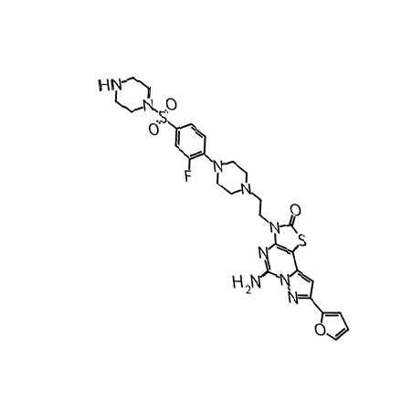 Nc1nc2c(sc(=O)n2CCN2CCN(c3ccc(S(=O)(=O)N4CCNCC4)cc3F)CC2)c2cc(-c3ccco3)nn12